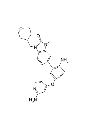 Cn1c(=O)n(CC2CCOCC2)c2ccc(-c3cc(Oc4ccnc(N)c4)ccc3N)cc21